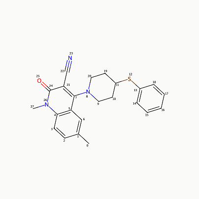 Cc1ccc2c(c1)c(N1CCC(Sc3ccccc3)CC1)c(C#N)c(=O)n2C